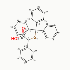 O=C(O)C(SC(c1ccccc1)(c1ccccc1)c1ccccc1)c1ccccc1